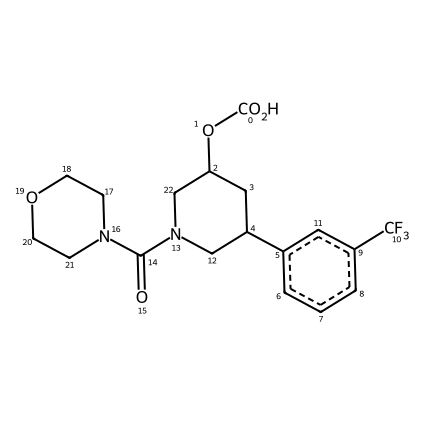 O=C(O)OC1CC(c2cccc(C(F)(F)F)c2)CN(C(=O)N2CCOCC2)C1